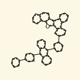 c1ccc(-c2ccc(-c3c4ccccc4c(-c4cccc(-c5ccc6c7ccccc7c7c8ccc9ccccc9c8oc7c6c5)c4)c4ccccc34)cc2)cc1